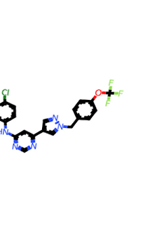 FC(F)(F)Oc1ccc(Cn2cc(-c3cc(Nc4ccc(Cl)cc4)ncn3)cn2)cc1